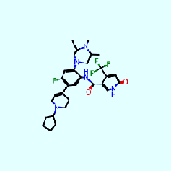 CC1CN(c2cc(F)c(C3=CCN(C4CCCC4)CC3)cc2NC(=O)c2c[nH]c(=O)cc2C(F)(F)F)CC(C)N1C